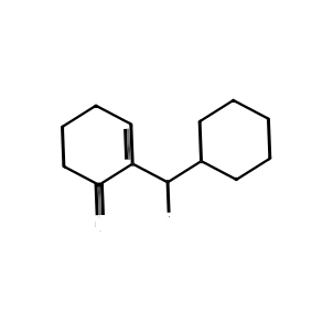 CC(=O)C(C1=CCCCC1=O)C1CCCCC1